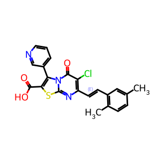 Cc1ccc(C)c(/C=C/c2nc3sc(C(=O)O)c(-c4cccnc4)n3c(=O)c2Cl)c1